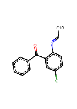 O=CC=Nc1ccc(Cl)cc1C(=O)c1ccccc1